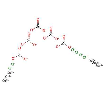 [Cl-].[Cl-].[Cl-].[Cl-].[Cl-].[Cl-].[Nb+5].[O]=[Zr]([O-])[O-].[O]=[Zr]([O-])[O-].[O]=[Zr]([O-])[O-].[O]=[Zr]([O-])[O-].[O]=[Zr]([O-])[O-].[Zn+2].[Zn+2].[Zn+2].[Zn+2].[Zn+2]